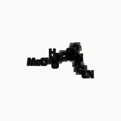 COCCNC(=O)c1cc2cc(N(Cc3cncn3Cc3ccc(C#N)cc3)S(=O)(=O)c3ccccc3)ccc2s1